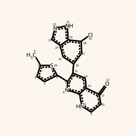 Cc1ccc(-c2nc3[nH]ccc(=O)c3cc2-c2cc(Cl)c3[nH]ncc3c2)s1